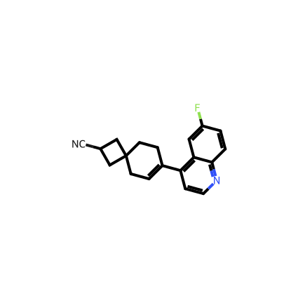 N#CC1CC2(CC=C(c3ccnc4ccc(F)cc34)CC2)C1